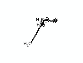 C=C(COC(=O)CCCCCn1ccnc1)COC(=O)NCCCCCCCCCCCCCCCCCC